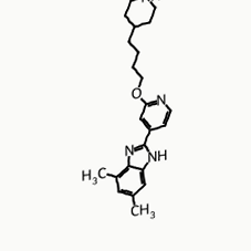 Cc1cc(C)c2nc(-c3ccnc(OCCCCC4CCNCC4)c3)[nH]c2c1